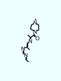 C/C=N/C=N\C(C)=C\N=C(/C)C(=O)N1CCN(C)CC1